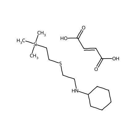 C[Si](C)(C)CCSCCNC1CCCCC1.O=C(O)C=CC(=O)O